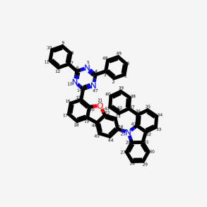 c1ccc(-c2nc(-c3ccccc3)nc(-c3cccc4c3oc3cc(-n5c6ccccc6c6cccc(-c7ccccc7)c65)ccc34)n2)cc1